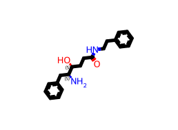 N[C@@H](Cc1ccccc1)[C@@H](O)CCC(=O)NCCc1ccccc1